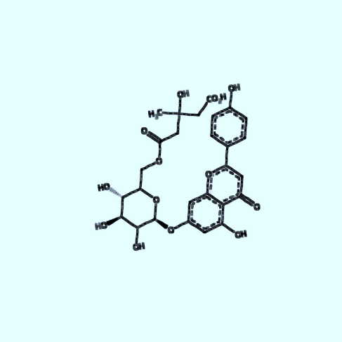 CC(O)(CC(=O)O)CC(=O)OCC1O[C@@H](Oc2cc(O)c3c(=O)cc(-c4ccc(O)cc4)oc3c2)C(O)[C@@H](O)[C@@H]1O